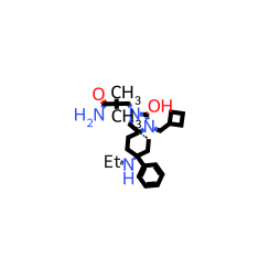 CCN[C@]1(c2ccccc2)CC[C@]2(CC1)CN(CC(C)(C)C(N)=O)C(O)N2CC1CCC1